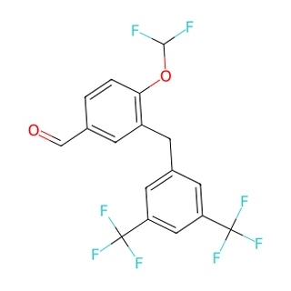 O=Cc1ccc(OC(F)F)c(Cc2cc(C(F)(F)F)cc(C(F)(F)F)c2)c1